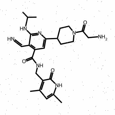 Cc1cc(C)c(CNC(=O)c2cc(C3CCN(C(=O)CN)CC3)nc(NC(C)C)c2C=N)c(=O)[nH]1